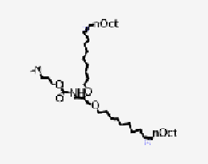 CCCCCCCC/C=C\CCCCCCCCOCC(CNC(=O)OCCCN(C)C)OCCCCCCCC/C=C\CCCCCCCC